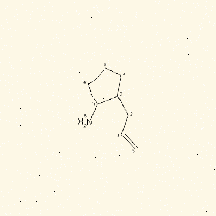 C=CCC1CCCC1N